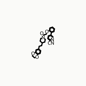 N#Cc1ccc(-c2ccccc2OCC(=O)N2CCC(CCc3ccc4c(c3)OCCO4)CC2)cn1